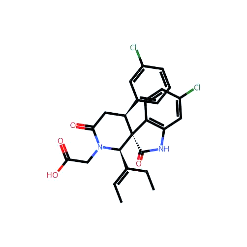 C/C=C(\CC)[C@H]1N(CC(=O)O)C(=O)C[C@@H](c2cccc(Cl)c2)[C@]12C(=O)Nc1cc(Cl)ccc12